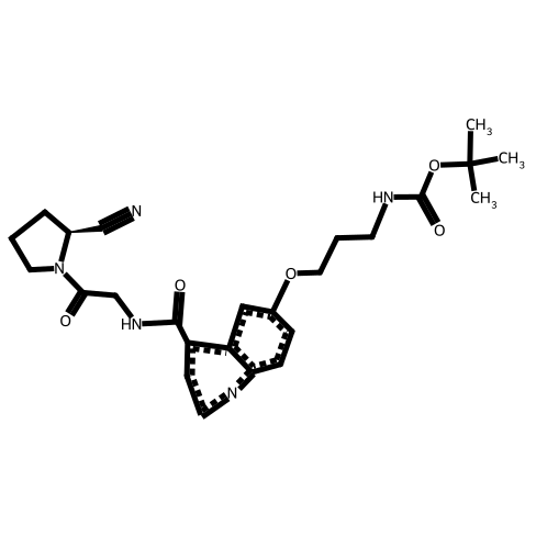 CC(C)(C)OC(=O)NCCCOc1ccc2nccc(C(=O)NCC(=O)N3CCC[C@H]3C#N)c2c1